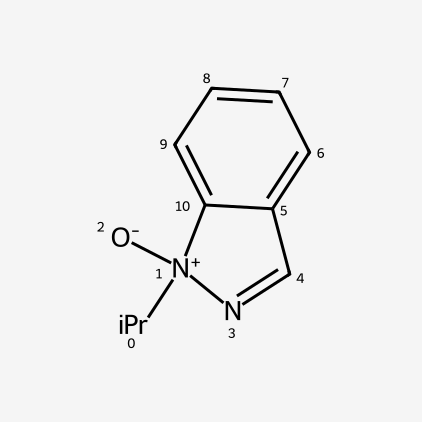 CC(C)[N+]1([O-])N=Cc2ccccc21